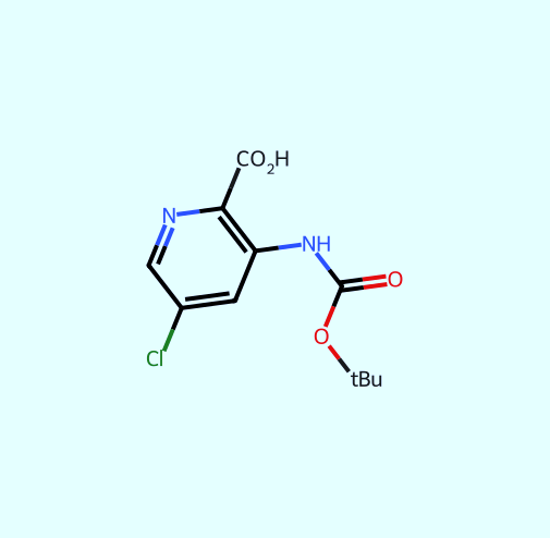 CC(C)(C)OC(=O)Nc1cc(Cl)cnc1C(=O)O